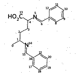 CC(CCC(N=Cc1ccccc1)C(=O)O)N=Cc1ccccc1